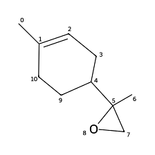 CC1=CCC(C2(C)CO2)CC1